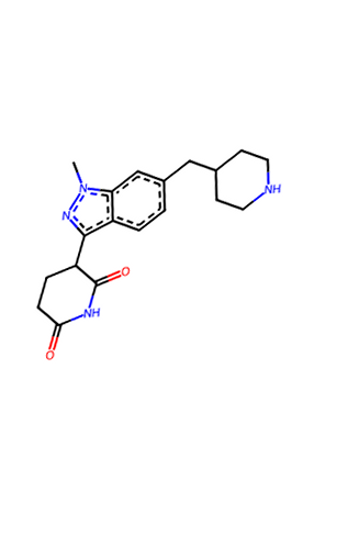 Cn1nc(C2CCC(=O)NC2=O)c2ccc(CC3CCNCC3)cc21